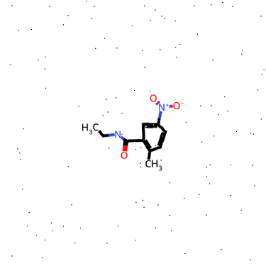 CC[N]C(=O)c1cc([N+](=O)[O-])ccc1C